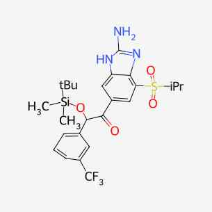 CC(C)S(=O)(=O)c1cc(C(=O)C(O[Si](C)(C)C(C)(C)C)c2cccc(C(F)(F)F)c2)cc2[nH]c(N)nc12